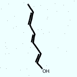 CC=CC=CC=CO